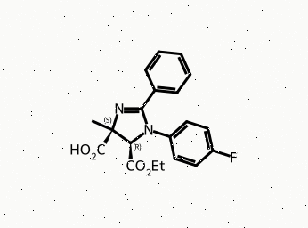 CCOC(=O)[C@@H]1N(c2ccc(F)cc2)C(c2ccccc2)=N[C@]1(C)C(=O)O